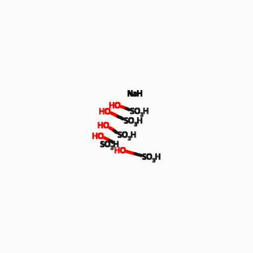 O=S(=O)(O)O.O=S(=O)(O)O.O=S(=O)(O)O.O=S(=O)(O)O.O=S(=O)(O)O.[NaH]